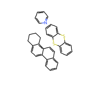 c1ccc2c(c1)Sc1ccccc1S2.c1ccc2c(c1)ccc1c3c(ccc12)CCCC3.c1ccncc1